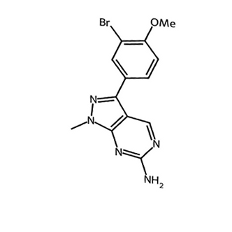 COc1ccc(-c2nn(C)c3nc(N)ncc23)cc1Br